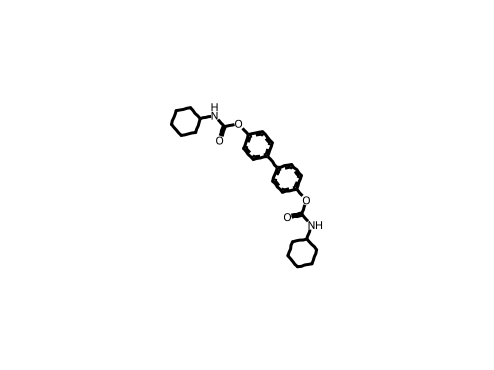 O=C(NC1CCCCC1)Oc1ccc(-c2ccc(OC(=O)NC3CCCCC3)cc2)cc1